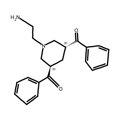 NCCN1C[C@H](C(=O)c2ccccc2)C[C@@H](C(=O)c2ccccc2)C1